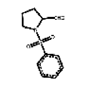 O=CC1CCCN1S(=O)(=O)c1ccccc1